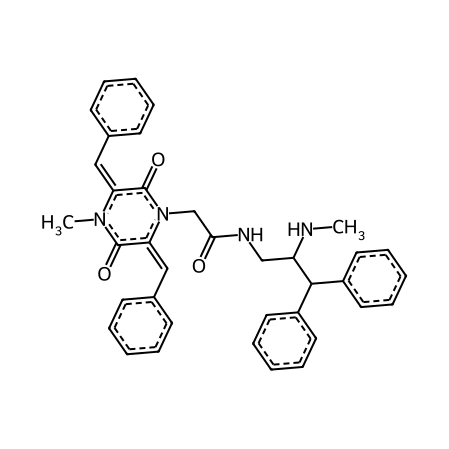 CNC(CNC(=O)Cn1c(=O)c(=Cc2ccccc2)n(C)c(=O)c1=Cc1ccccc1)C(c1ccccc1)c1ccccc1